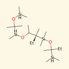 CCC(C)(O[Si](C)(C)[C@](C)(CC)C(C)O[SiH](C)C(C)(C)O[SiH](C)C)[SiH](C)C